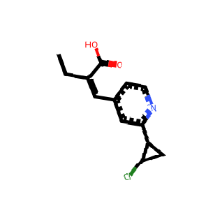 CCC(=Cc1ccnc(C2CC2Cl)c1)C(=O)O